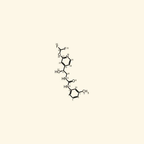 Cc1cccc(NC(=O)NC[C@@H](O)c2ccnc(OC(F)F)c2)c1